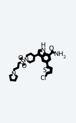 NC(=O)c1cc(-c2ccc(Cl)s2)cc2c(C3CCN(S(=O)(=O)CCCN4CCCC4)CC3)c[nH]c12